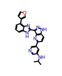 CC(C)Nc1cncc(-c2ccc3[nH]nc(-c4nc5c(-c6ccoc6)cccc5[nH]4)c3n2)c1